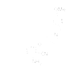 COc1ccc(CN2CCC(COc3cccc(N)c3C#N)CC2)cc1